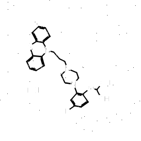 CC(C)Oc1ccc(F)cc1N1CCN(CCCN2c3ccccc3Sc3ccccc32)CC1.Cl